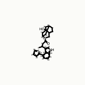 CC(CC(=O)N1CC2CCC3CC1CC2(O)C3)c1c[nH]c2cccc(-c3cccs3)c12